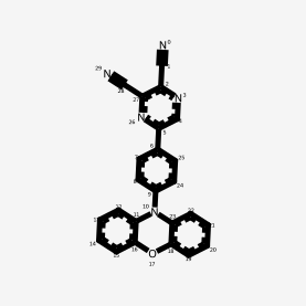 N#Cc1ncc(-c2ccc(N3c4ccccc4Oc4ccccc43)cc2)nc1C#N